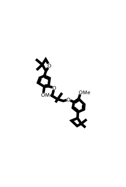 COc1ccc(C2CCC2(C)C)cc1OCC(C)(C)COc1cc(C2OCC2(C)C)ccc1OC